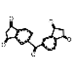 O=C(c1ccc2c(c1)C(=O)CC2=O)c1ccc2c(c1)C(=O)CC2=O